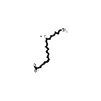 CCCCCCCC(C)CCCCCCC/C=C\C=CC=CC(=O)O